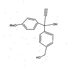 C#CC(O)(c1ccc(CO)cc1)c1ccc(OC)cc1